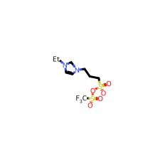 CCN1C=CN(CCCS(=O)(=O)OS(=O)(=O)C(F)(F)F)C1